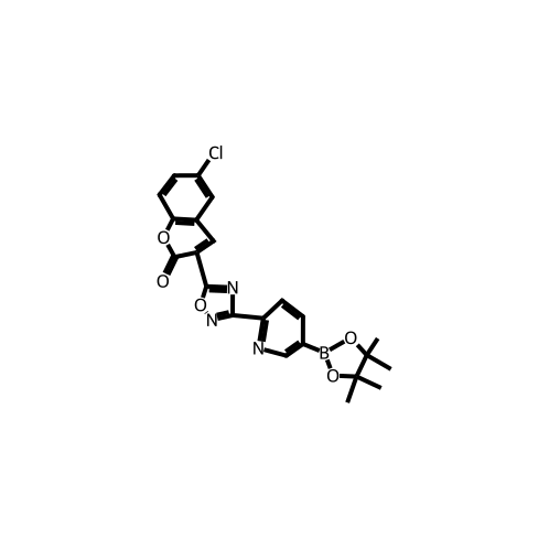 CC1(C)OB(c2ccc(-c3noc(-c4cc5cc(Cl)ccc5oc4=O)n3)nc2)OC1(C)C